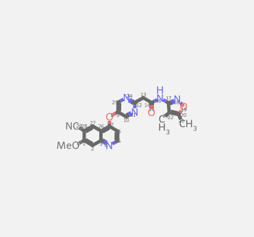 COc1cc2nccc(Oc3cnc(CC(=O)Nc4noc(C)c4C)nc3)c2cc1C#N